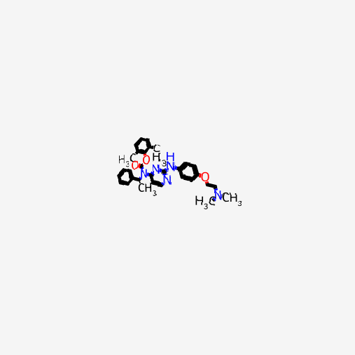 Cc1cccc(C)c1OC(=O)N(c1ccnc(Nc2ccc(OCCN(C)C)cc2)n1)[C@@H](C)c1ccccc1